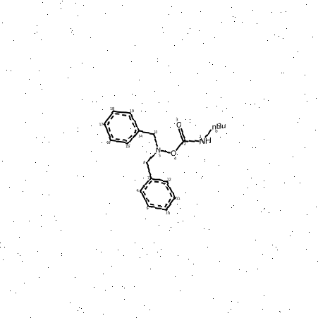 CCCCNC(=O)ON(Cc1ccccc1)Cc1ccccc1